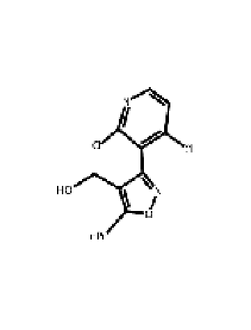 CCCc1onc(-c2c(Cl)ccnc2Cl)c1CO